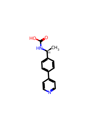 C[C@H](NC(=O)O)c1ccc(-c2ccncc2)cc1